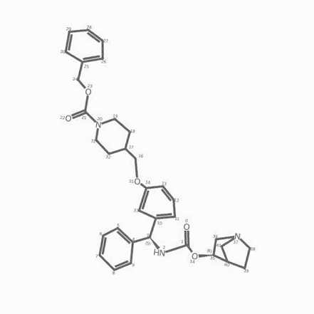 O=C(N[C@@H](c1ccccc1)c1cccc(OCC2CCN(C(=O)OCc3ccccc3)CC2)c1)O[C@H]1CN2CCC1C2